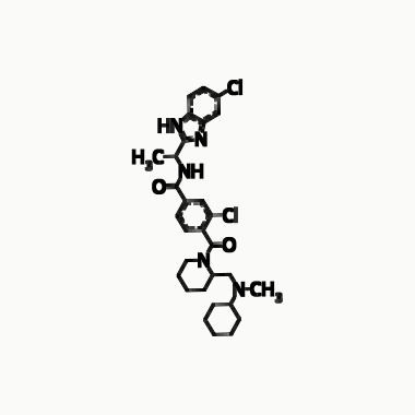 CC(NC(=O)c1ccc(C(=O)N2CCCCC2CN(C)C2CCCCC2)c(Cl)c1)c1nc2cc(Cl)ccc2[nH]1